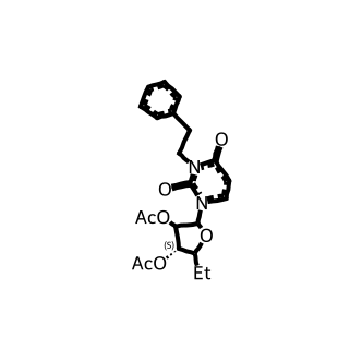 CCC1OC(n2ccc(=O)n(CCc3ccccc3)c2=O)C(OC(C)=O)[C@H]1OC(C)=O